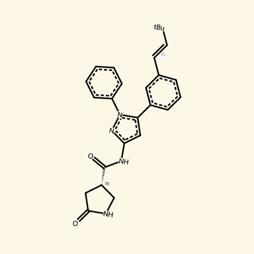 CC(C)(C)/C=C/c1cccc(-c2cc(NC(=O)[C@@H]3CNC(=O)C3)nn2-c2ccccc2)c1